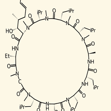 C/C=C/C[C@@H](C)[C@@H](O)[C@H]1C(=O)N[C@@H](CC)C(=O)N(C)CC(=O)N(C)[C@@H](CC(C)C)C(=O)N[C@@H](C(C)C)C(=O)N(C)[C@@H](CC(C)C)C(=O)N[C@@H](CC(C)C)C(=O)N[C@H](C)C(=O)N(C)[C@@H](CC(C)C)C(=O)N(C)[C@@H](CC(C)C)C(=O)N(C)[C@@H](C(C)C)C(=O)N1C